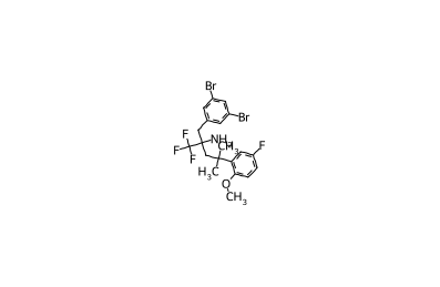 COc1ccc(F)cc1C(C)(C)CC(N)(Cc1cc(Br)cc(Br)c1)C(F)(F)F